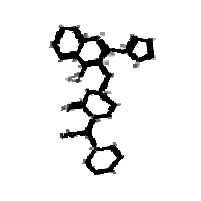 O=CC(N1CCCCC1)N1CCN(Cc2c(-c3cccs3)nc3ccccc3c2C(=O)O)CC1=O